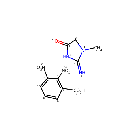 CN1CC(=O)NC1=N.O=C(O)c1cccc([N+](=O)[O-])c1[N+](=O)[O-]